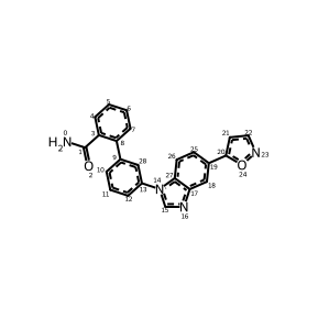 NC(=O)c1ccccc1-c1cccc(-n2cnc3cc(-c4ccno4)ccc32)c1